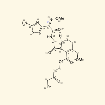 COCC1=C(C(=O)OCOC(=O)CC(C)C)N2C(=O)C(NC(=O)/C(=N\OC)c3csc(N)n3)[C@H]2SC1